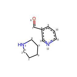 C1CCNCC1.O=Cc1cccnc1